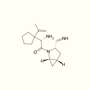 C=C(C)C1([C@H](N)C(=O)N2[C@H](C=N)C[C@@H]3C[C@@H]32)CCCC1